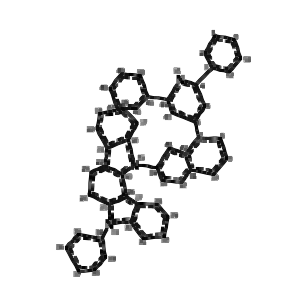 c1ccc(-c2cc(-c3cccc4ccc(-n5c6ccccc6c6ccc7c(c8ccccc8n7-c7ccccc7)c65)cc34)cc(-c3ccccc3)n2)cc1